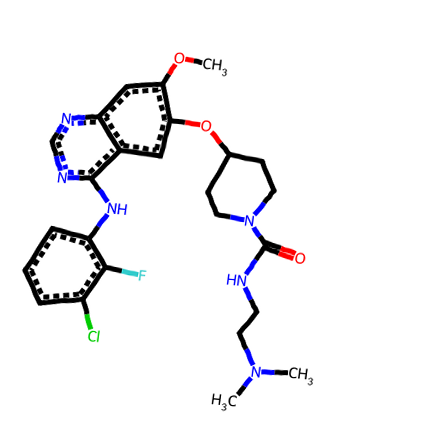 COc1cc2ncnc(Nc3cccc(Cl)c3F)c2cc1OC1CCN(C(=O)NCCN(C)C)CC1